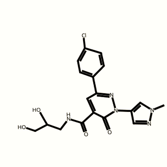 Cn1cc(-n2nc(-c3ccc(Cl)cc3)cc(C(=O)NCC(O)CO)c2=O)cn1